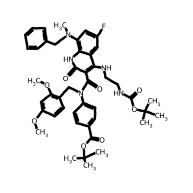 COc1ccc(CN(C(=O)c2c(NCCNC(=O)OC(C)(C)C)c3cc(F)cc(N(C)Cc4ccccc4)c3[nH]c2=O)c2ccc(C(=O)OC(C)(C)C)cc2)c(OC)c1